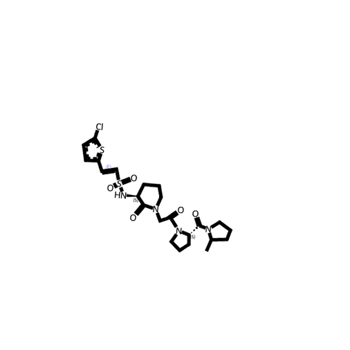 CC1CCCN1C(=O)[C@@H]1CCCN1C(=O)CN1CCC[C@H](NS(=O)(=O)/C=C/c2ccc(Cl)s2)C1=O